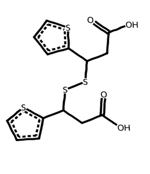 O=C(O)CC(SSC(CC(=O)O)c1cccs1)c1cccs1